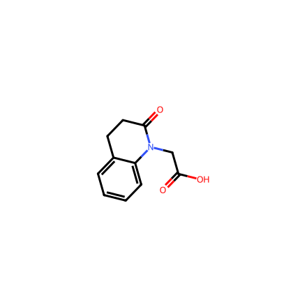 O=C(O)CN1C(=O)CCc2ccccc21